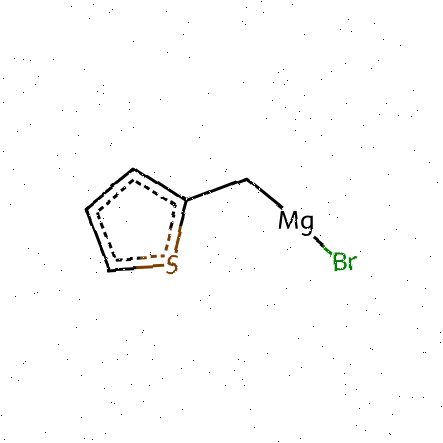 [Br][Mg][CH2]c1cccs1